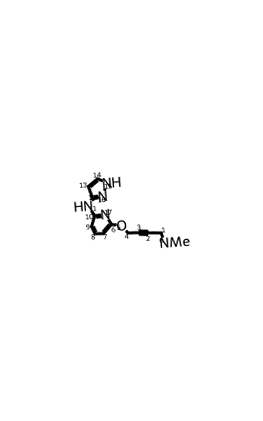 CNCC#CCOc1cccc(Nc2cc[nH]n2)n1